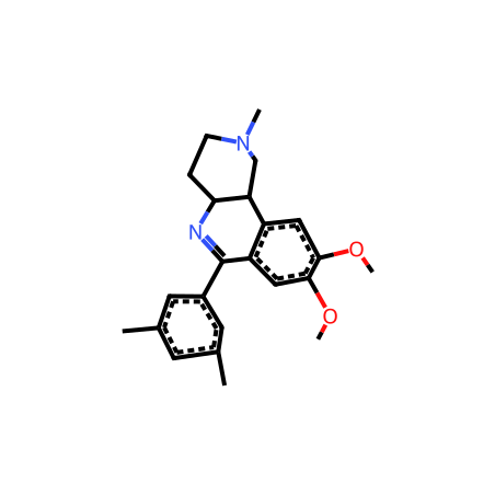 COc1cc2c(cc1OC)C1CN(C)CCC1N=C2c1cc(C)cc(C)c1